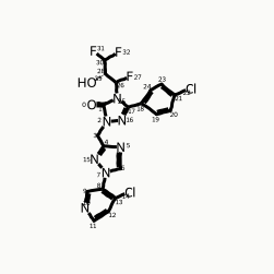 O=c1n(Cc2ncn(-c3cnccc3Cl)n2)nc(-c2ccc(Cl)cc2)n1C(F)[C@H](O)C(F)F